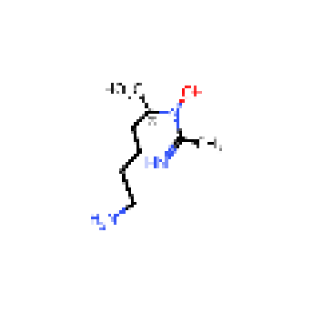 CC(=N)N(O)[C@@H](CCCCN)C(=O)O